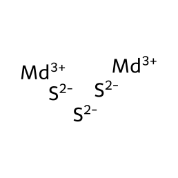 [Md+3].[Md+3].[S-2].[S-2].[S-2]